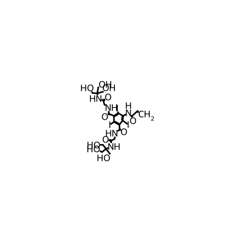 C=CC(=O)Nc1c(I)c(C(=O)NCC(=O)NC(CO)(CO)CO)c(I)c(C(=O)NCC(=O)NC(CO)(CO)CO)c1I